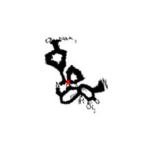 C[C@@H]1C(=O)C(C#N)=C[C@]2(c3ccccc3)c3nc(-c4ccc(C(N)=O)cc4)ncc3CC[C@@H]12